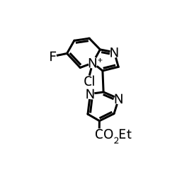 CCOC(=O)c1cnc(C2=CN=C3C=CC(F)=C[N+]23Cl)nc1